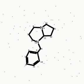 c1ccc(CN2CCCN3CCCC32)cc1